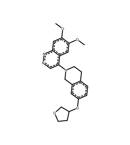 COc1cc2nncc(N3CCc4ccc(OC5CCOC5)cc4C3)c2cc1OC